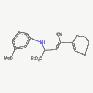 CCOC(=O)C(C=C(C#N)C1=CCCCC1)Nc1cccc(OC)c1